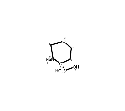 C1COCCO1.O=S(=O)(O)O.[NaH]